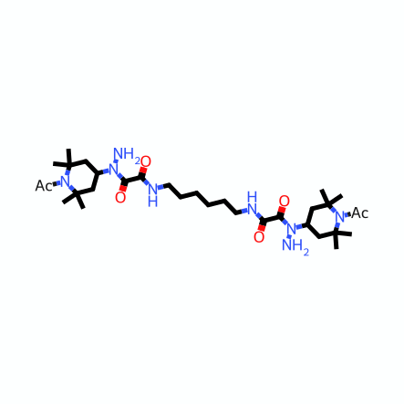 CC(=O)N1C(C)(C)CC(N(N)C(=O)C(=O)NCCCCCCNC(=O)C(=O)N(N)C2CC(C)(C)N(C(C)=O)C(C)(C)C2)CC1(C)C